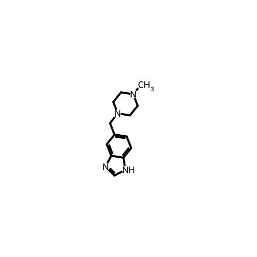 CN1CCN(Cc2ccc3[nH]cnc3c2)CC1